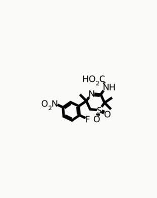 CC1(c2cc([N+](=O)[O-])ccc2F)CS(=O)(=O)C(C)(C)C(NC(=O)O)=N1